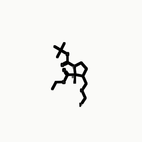 CCOC(=O)[C@@]1(C)C(COCF)CCN1C(=O)OC(C)(C)C